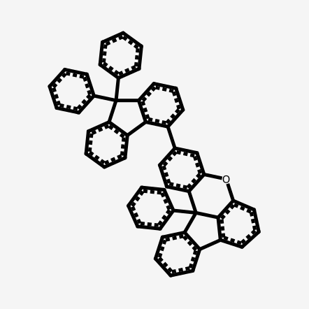 c1ccc(C2(c3ccccc3)c3ccccc3-c3c(-c4ccc5c(c4)Oc4cccc6c4C5(c4ccccc4)c4ccccc4-6)cccc32)cc1